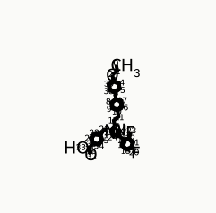 CCOc1ccc(-c2ccc(CCc3nc(-c4ccc(F)cc4F)cn3Cc3ccc(C(=O)O)cc3)cc2)cc1